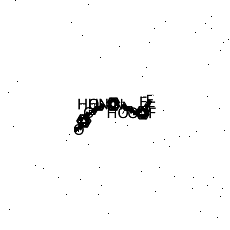 COc1ccc(OC[C@H](O)CNC2CCN(C[C@@H](O)COc3ccc(F)c(C(F)(F)F)c3)CC2)cc1